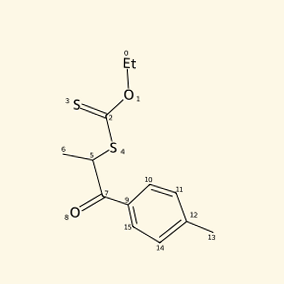 CCOC(=S)SC(C)C(=O)c1ccc(C)cc1